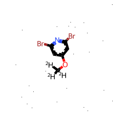 [2H]C([2H])([2H])Oc1cc(Br)nc(Br)c1